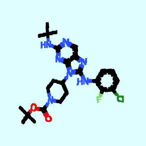 CC(C)(C)Nc1ncc2nc(Nc3cccc(Cl)c3F)n(C3CCN(C(=O)OC(C)(C)C)CC3)c2n1